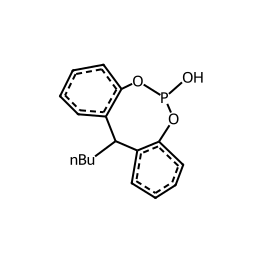 CCCCC1c2ccccc2OP(O)Oc2ccccc21